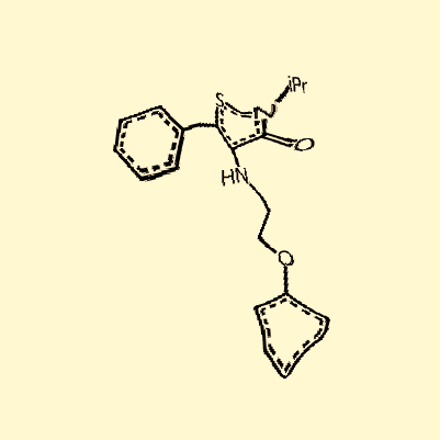 CC(C)n1sc(-c2ccccc2)c(NCCOc2ccccc2)c1=O